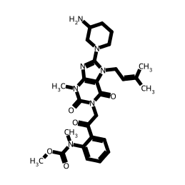 COC(=O)N(C)c1ccccc1C(=O)Cn1c(=O)c2c(nc(N3CCCC(N)C3)n2CC=C(C)C)n(C)c1=O